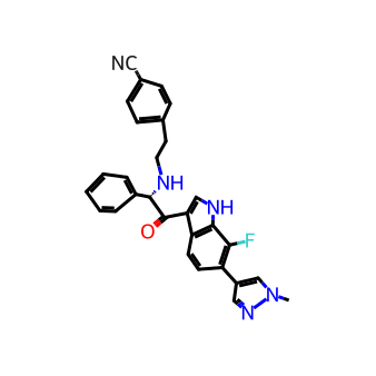 Cn1cc(-c2ccc3c(C(=O)[C@@H](NCCc4ccc(C#N)cc4)c4ccccc4)c[nH]c3c2F)cn1